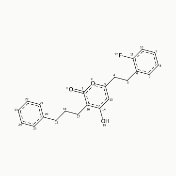 O=c1oc(CCc2ccccc2F)cc(O)c1CCCc1ccccc1